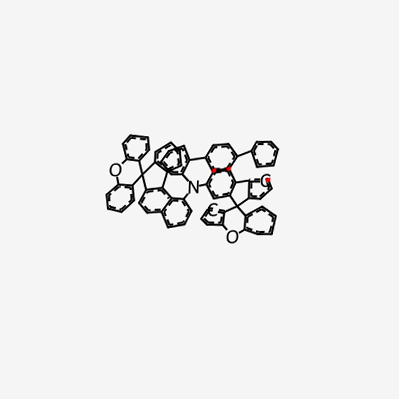 c1ccc(-c2ccc(-c3ccccc3N(c3ccc4c(c3)C3(c5ccccc5Oc5ccccc53)c3ccccc3-4)c3cccc4ccc5c(c34)-c3ccccc3C53c4ccccc4Oc4ccccc43)cc2)cc1